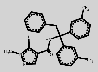 Cn1ncc(C(=O)NC(Cc2ccccc2)(c2cccc(C(F)(F)F)c2)c2cccc(C(F)(F)F)c2)c1I